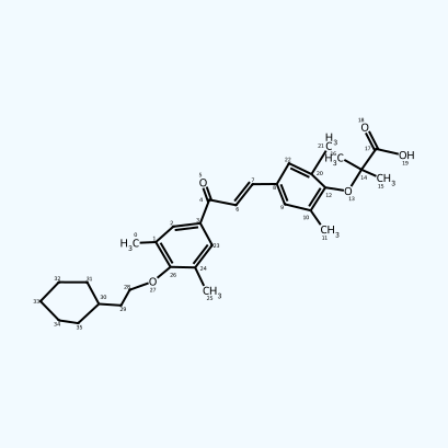 Cc1cc(C(=O)C=Cc2cc(C)c(OC(C)(C)C(=O)O)c(C)c2)cc(C)c1OCCC1CCCCC1